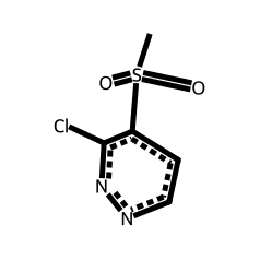 CS(=O)(=O)c1ccnnc1Cl